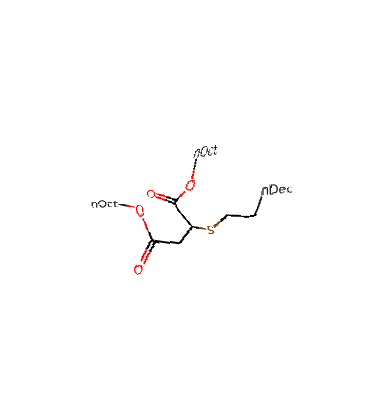 CCCCCCCCCCCCSC(CC(=O)OCCCCCCCC)C(=O)OCCCCCCCC